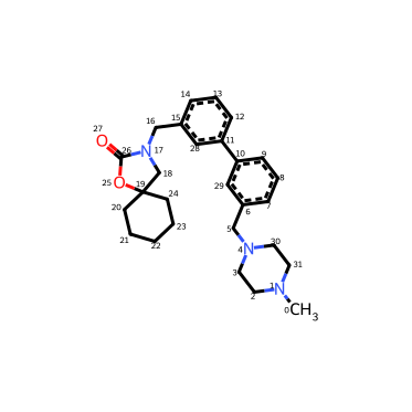 CN1CCN(Cc2cccc(-c3cccc(CN4CC5(CCCCC5)OC4=O)c3)c2)CC1